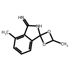 Cc1cccc2c1C(=N)NC21OC(C)O1